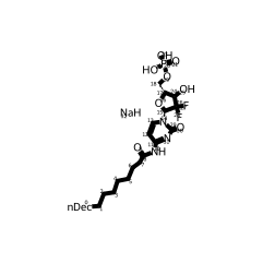 CCCCCCCCCCCCCCCCCC(=O)Nc1ccn([C@@H]2O[C@H](COP(=O)(O)O)C(O)C2(F)F)c(=O)n1.[NaH]